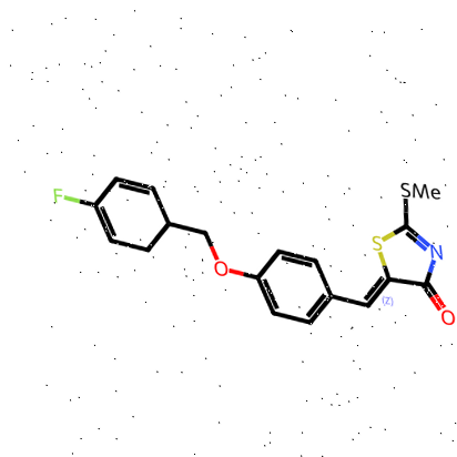 CSC1=NC(=O)/C(=C/c2ccc(OCC3C=CC(F)=CC3)cc2)S1